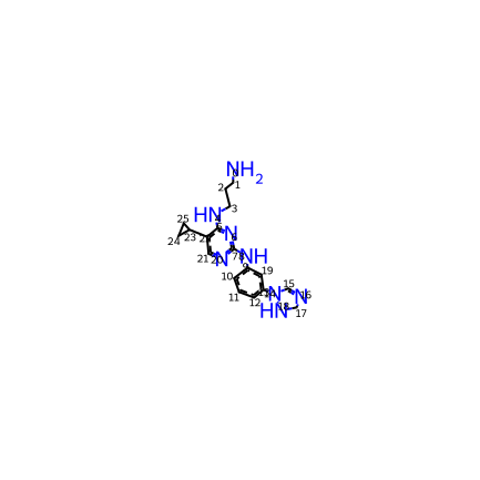 NCCCNc1nc(Nc2cccc(N3C=NCN3)c2)ncc1C1CC1